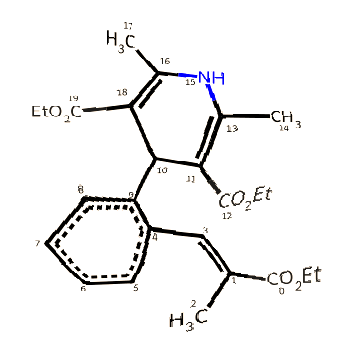 CCOC(=O)C(C)=Cc1ccccc1C1C(C(=O)OCC)=C(C)NC(C)=C1C(=O)OCC